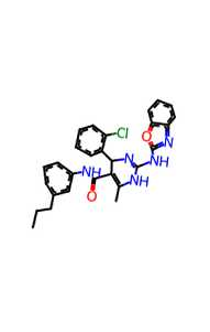 CCCc1cccc(NC(=O)C2=C(C)NC(Nc3nc4ccccc4o3)=NC2c2ccccc2Cl)c1